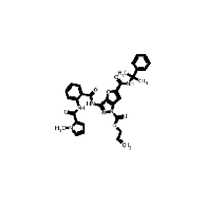 C=CCOC(=O)n1nc(NC(=O)c2ccccc2NC(=O)c2cccn2C)c2oc(C(=O)NC(C)(C)c3ccccc3)cc21